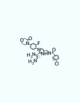 N/C=C(\N)c1nc(CNC(=O)c2ccc(Cl)s2)cn1-c1ccc(N2CCOCC2=O)cc1F